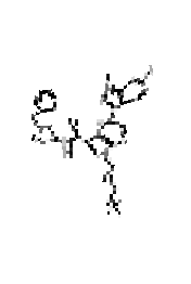 Cn1nc(-c2cnc3c(n2)c(C(=O)N[C@@H]2CCN(Cc4ccccc4)C2)cn3COCC[Si](C)(C)C)c2ccc(F)cc21